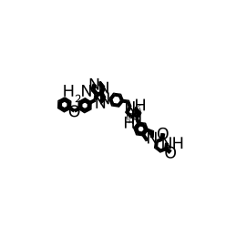 Nc1ncnc2c1c(-c1ccc(Oc3ccccc3)cc1)nn2C1CCC(CN2C[C@H]3C[C@@H]2CN3c2ccc3c(c2)CN(C2CCC(=O)NC2=O)C3)CC1